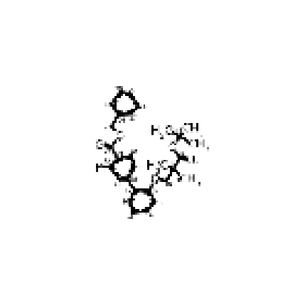 CC(C)(C)OC(=O)C(C)(C)COc1ccccc1-c1ccc(C(=O)OCc2ccccc2)c(F)c1